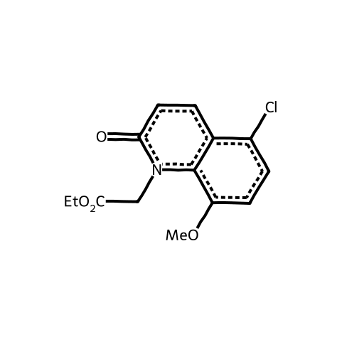 CCOC(=O)Cn1c(=O)ccc2c(Cl)ccc(OC)c21